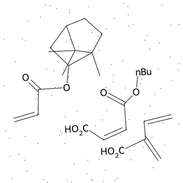 C=CC(=C)C(=O)O.C=CC(=O)OC1CC2CCC1(C)C2(C)C.CCCCOC(=O)/C=C\C(=O)O